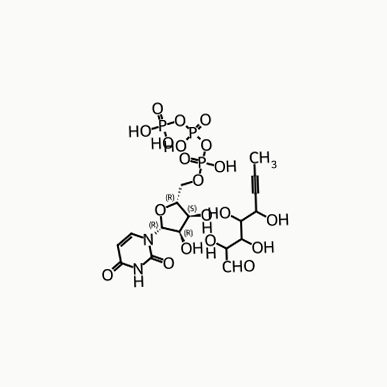 CC#CC(O)C(O)C(O)C(O)C=O.O=c1ccn([C@@H]2O[C@H](COP(=O)(O)OP(=O)(O)OP(=O)(O)O)[C@@H](O)[C@H]2O)c(=O)[nH]1